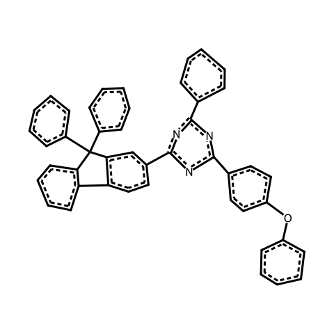 c1ccc(Oc2ccc(-c3nc(-c4ccccc4)nc(-c4ccc5c(c4)C(c4ccccc4)(c4ccccc4)c4ccccc4-5)n3)cc2)cc1